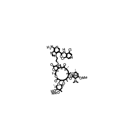 CO[C@@H]1C[C@@H](C)O[C@@H](O[C@@H]2[C@@H](C)[C@H](O[C@H]3C[C@@](C)(OC)[C@@H](O)[C@H](C)O3)[C@@H](C)C(=O)O[C@H](I)[C@@]3(C)OC(=O)[C@@H](SCCn4cnc5c(N)ncc(C(=O)Nc6c(Cl)cncc6Cl)c54)[C@@H]3[C@@H](C)C(=O)[C@H](C)C[C@@]2(C)OC)[C@H]1N(C)C